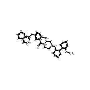 COc1ccccc1-c1cnccc1CN1CCN(C(=O)c2cc(Cc3nncc4ccccc34)ccc2F)CC1